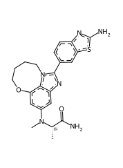 C[C@@H](C(N)=O)N(C)c1cc2c3c(c1)nc(-c1ccc4nc(N)sc4c1)n3CCCCO2